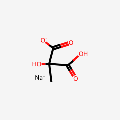 CC(O)(C(=O)[O-])C(=O)O.[Na+]